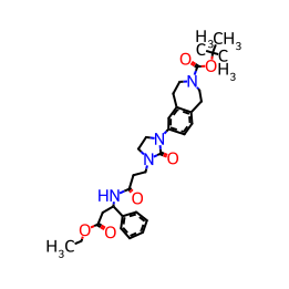 CCOC(=O)CC(NC(=O)CCN1CCN(c2ccc3c(c2)CCN(C(=O)OC(C)(C)C)CC3)C1=O)c1ccccc1